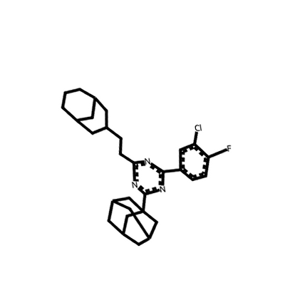 Fc1ccc(-c2nc(CCC3CC4CCCC(C4)C3)nc(C34CC5CC(CC(C5)C3)C4)n2)cc1Cl